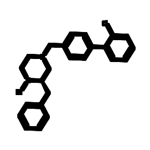 CCN1CCN(Cc2ccc(-c3ccccc3Cl)cc2)C[C@H]1Cc1ccccc1